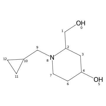 OCC1CC(O)CCN1CC1CC1